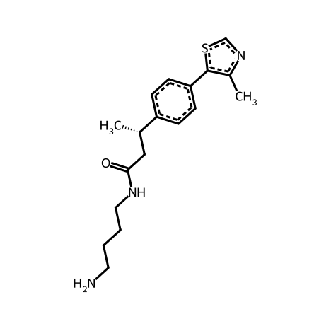 Cc1ncsc1-c1ccc([C@@H](C)CC(=O)NCCCCN)cc1